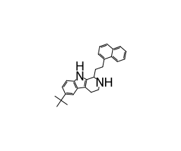 CC(C)(C)c1ccc2[nH]c3c(c2c1)CCNC3CCc1cccc2ccccc12